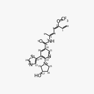 C=C/C(=C\C=C(/C)NC(=O)c1cnc(N2CC[C@@H](O)C2)c(-c2cncs2)c1)OC(F)(F)F